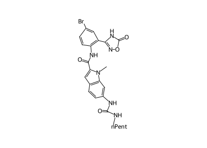 CCCCCNC(=O)Nc1ccc2cc(C(=O)Nc3ccc(Br)cc3-c3noc(=O)[nH]3)n(C)c2c1